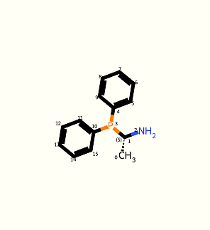 C[C@@H](N)P(c1ccccc1)c1ccccc1